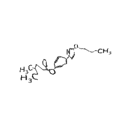 CCCCCOc1ccc(-c2ccc(OC(=O)CCC(C)CC)cc2)nc1